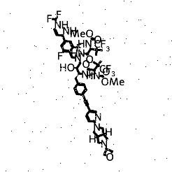 COC(=O)NC(C(=O)N[C@@H](Cc1ccc(C#Cc2ccc(N3C[C@@H]4CN(C5COC5)C[C@@H]4C3)nc2)cc1)[C@@H](O)CN(Cc1c(F)cc(C(=N)/C=C\NC(F)F)cc1F)NC(=O)[C@@H](NC(=O)OC)C(C)(C)C(F)(F)F)C(C)(C)C(F)(F)F